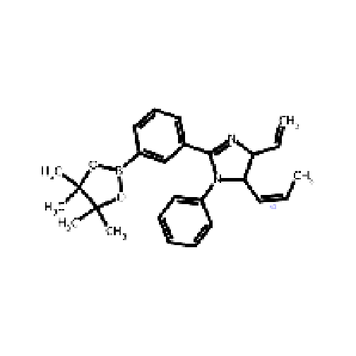 C=CC1N=C(c2cccc(B3OC(C)(C)C(C)(C)O3)c2)N(c2ccccc2)C1/C=C\C